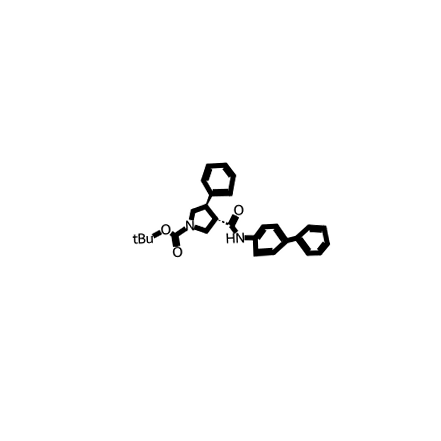 CC(C)(C)OC(=O)N1C[C@@H](C(=O)Nc2ccc(-c3ccccc3)cc2)[C@H](c2ccccc2)C1